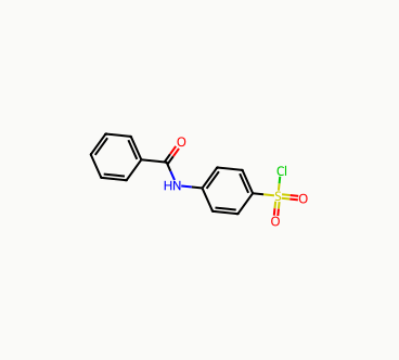 O=C(Nc1ccc(S(=O)(=O)Cl)cc1)c1ccccc1